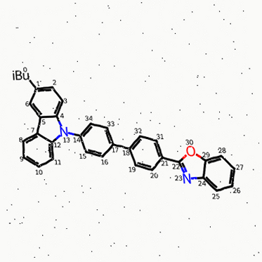 CCC(C)c1ccc2c(c1)c1ccccc1n2-c1ccc(-c2ccc(-c3nc4ccccc4o3)cc2)cc1